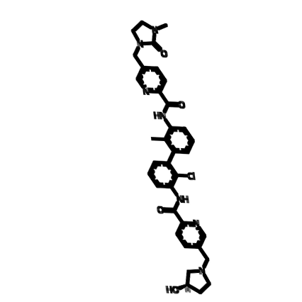 Cc1c(NC(=O)c2ccc(CN3CCN(C)C3=O)cn2)cccc1-c1cccc(NC(=O)c2ccc(CN3CC[C@@H](O)C3)cn2)c1Cl